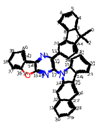 CC1(C)c2ccccc2-c2cc(-c3nc4c(nc3-n3c5ccccc5c5cc6ccccc6cc53)oc3ccccc34)ccc21